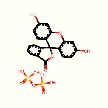 O=C1OC2(c3ccc(O)cc3Oc3cc(O)ccc32)c2ccccc21.O=P(O)(O)OP(=O)(O)O